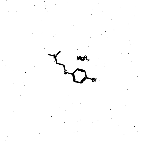 CN(C)CCSc1ccc(Br)cc1.[MgH2]